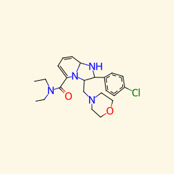 CCN(CC)C(=O)C1=CC=CC2NC(c3ccc(Cl)cc3)C(CN3CCOCC3)N12